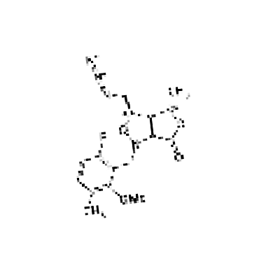 COc1c(C)ccc(F)c1CN1O[C@@H](CN=[N+]=[N-])C2C1C(=O)O[C@H]2C